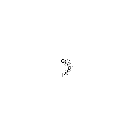 [Ga+3].[Ir+3].[O-2].[O-2].[O-2]